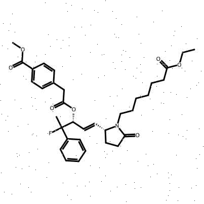 CCOC(=O)CCCCCCN1C(=O)CC[C@@H]1/C=C/[C@@H](OC(=O)Cc1ccc(C(=O)OC)cc1)C(C)(F)c1ccccc1